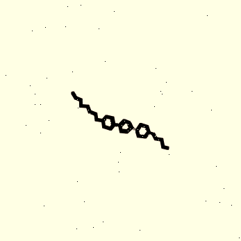 CCCCCCCCC1CC=C(c2ccc([C@H]3CC[C@H](CCCCC)CC3)cc2)CC1